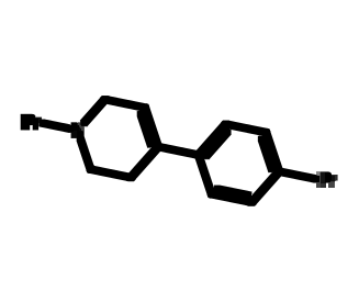 CC(C)c1ccc(C2=CCN(C(C)C)CC2)cc1